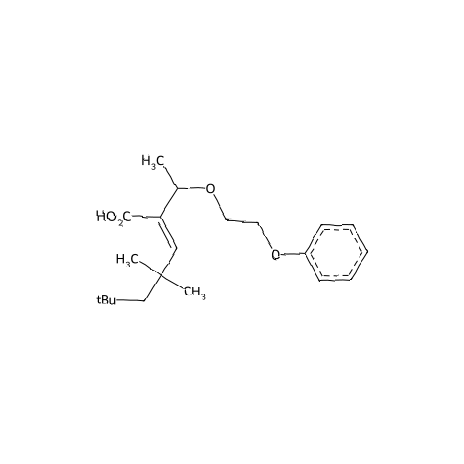 CC(OCCOc1ccccc1)C(=CC(C)(C)CC(C)(C)C)C(=O)O